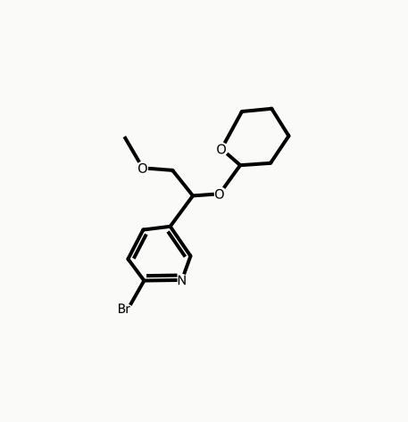 COCC(OC1CCCCO1)c1ccc(Br)nc1